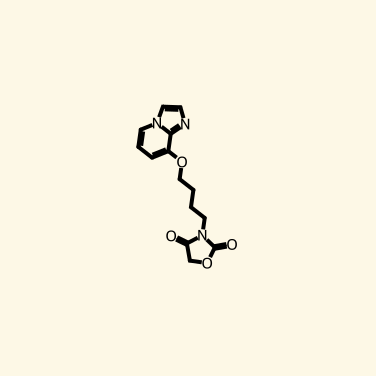 O=C1COC(=O)N1CCCCOc1cccn2ccnc12